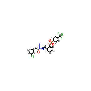 O=C(Cc1cccc(Cl)c1)N/N=C/c1ccccc1OS(=O)(=O)c1ccc(C(F)(F)F)cc1